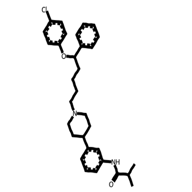 CC(C)C(=O)Nc1cccc(C2CCN(CCCCC(Oc3ccc(Cl)cc3)c3ccccc3)CC2)c1